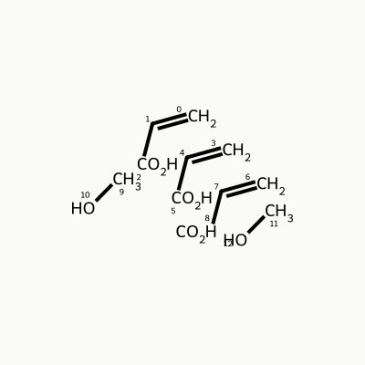 C=CC(=O)O.C=CC(=O)O.C=CC(=O)O.CO.CO